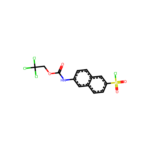 O=C(Nc1ccc2cc(S(=O)(=O)Cl)ccc2c1)OCC(Cl)(Cl)Cl